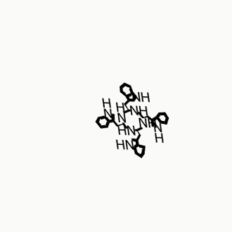 c1ccc2c(C[C@@H]3CN[C@H](Cc4c[nH]c5ccccc45)CN[C@H](Cc4c[nH]c5ccccc45)CN[C@H](Cc4c[nH]c5ccccc45)CN3)c[nH]c2c1